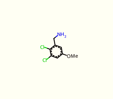 COc1cc(Cl)c(Cl)c(CN)c1